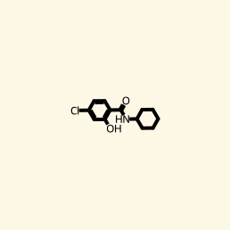 O=C(NC1CCCCC1)c1ccc(Cl)cc1O